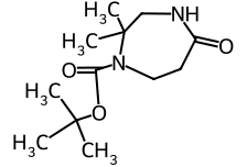 CC(C)(C)OC(=O)N1CCC(=O)NCC1(C)C